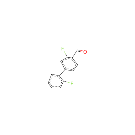 O=Cc1ccc(-c2ccccc2F)cc1F